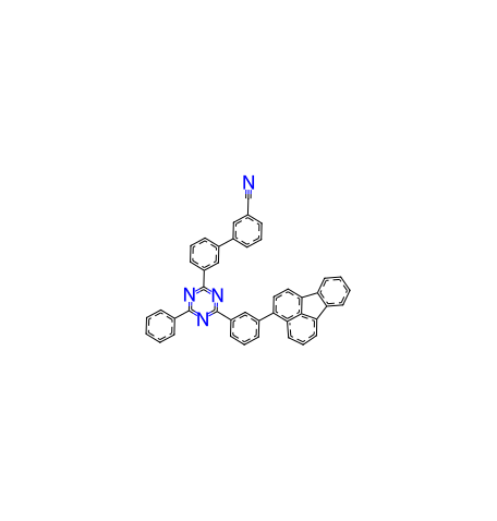 N#Cc1cccc(-c2cccc(-c3nc(-c4ccccc4)nc(-c4cccc(-c5ccc6c7c(cccc57)-c5ccccc5-6)c4)n3)c2)c1